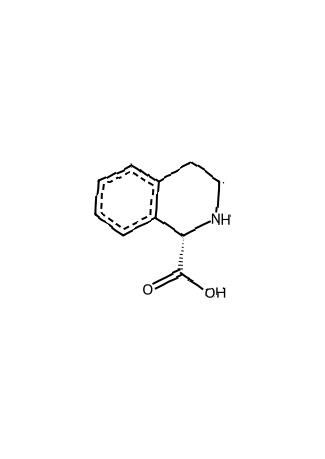 O=C(O)[C@H]1N[CH]Cc2ccccc21